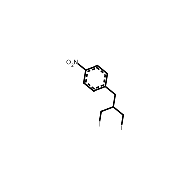 O=[N+]([O-])c1ccc(CC(CI)CI)cc1